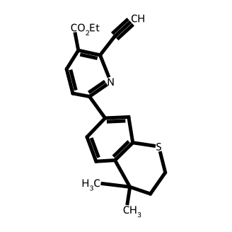 C#Cc1nc(-c2ccc3c(c2)SCCC3(C)C)ccc1C(=O)OCC